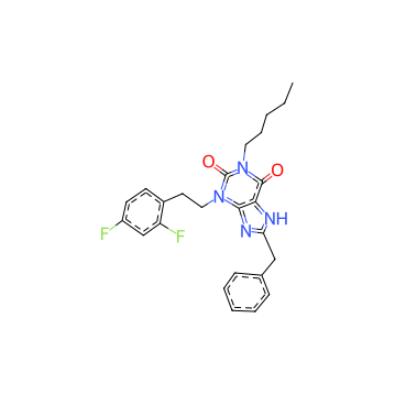 CCCCCn1c(=O)c2[nH]c(Cc3ccccc3)nc2n(CCc2ccc(F)cc2F)c1=O